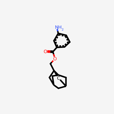 Nc1cccc(C(=O)OCC23CC4CC(CC2C4)C3)c1